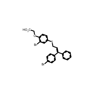 O=C(O)COc1ccc(SCC=C(c2ccccc2)c2ccc(Br)cc2)cc1Br